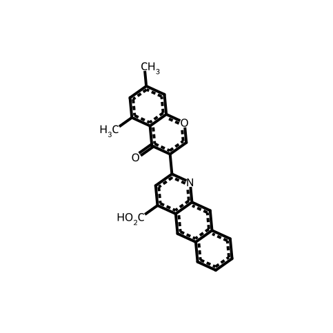 Cc1cc(C)c2c(=O)c(-c3cc(C(=O)O)c4cc5ccccc5cc4n3)coc2c1